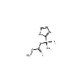 COC(=O)CC(C)(N)c1nccs1